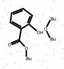 CCC(C)OC(=O)c1ccccc1O.CCC(C)OC(C)CC